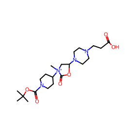 CC(C)(C)OC(=O)N1CCC([N+]2(C)CC(N3CCN(CCC(=O)O)CC3)OC2=O)CC1